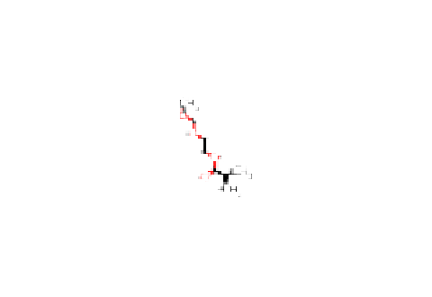 C=C(C)C(=O)OCCOCOC